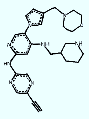 C#Cc1cnc(Nc2cc(NCC3CCCNC3)c(-n3ccc(CN4CCOCC4)c3)cn2)cn1